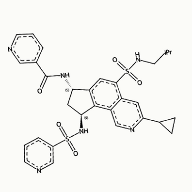 CC(C)CNS(=O)(=O)c1cc2c(c3cnc(C4CC4)cc13)[C@@H](NS(=O)(=O)c1cccnc1)C[C@@H]2NC(=O)c1cccnc1